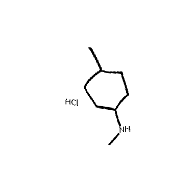 CNC1CCC(C)CC1.Cl